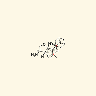 CC(C)(C)OC(=O)N1C2CC1CN([C@H]1CO[C@H]3[C@@H]1OC[C@@H]3N)C2